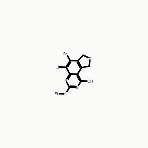 CCSc1nc(O)c2c3c(c(Br)c(Cl)c2n1)COC3